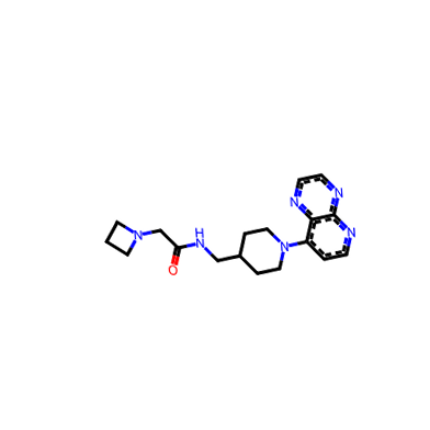 O=C(CN1CCC1)NCC1CCN(c2ccnc3nccnc23)CC1